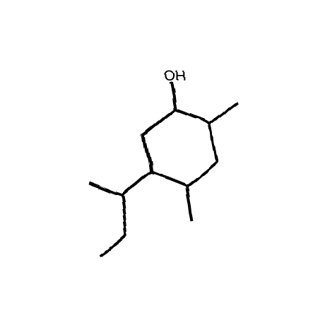 CCC(C)C1CC(O)C(C)CC1C